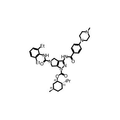 CCc1cccc(CC)c1NC(=O)N1Cc2c(NC(=O)c3ccc(N4CCN(C)CC4)cc3)nn(C(=O)O[C@@H]3C[C@H](C)CC[C@H]3C(C)C)c2C1